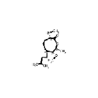 CN[C@H]1CCC[C@H](CCC(C)C)[C@@H](OC)[C@H](C)OC1=O